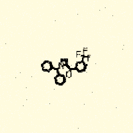 O=C(c1cccc(C(F)(F)F)c1)C1CCN1C(c1ccccc1)c1ccccc1